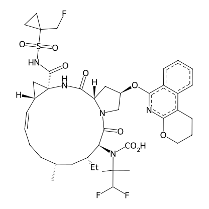 CC[C@@H]1C[C@H](C)CC/C=C\[C@@H]2C[C@@]2(C(=O)NS(=O)(=O)C2(CF)CC2)NC(=O)[C@@H]2C[C@@H](Oc3nc4c(c5ccccc35)CCCO4)CN2C(=O)[C@H]1N(C(=O)O)C(C)(C)C(F)F